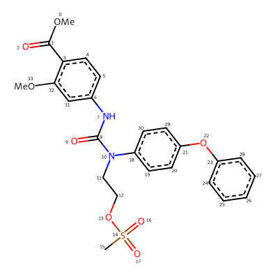 COC(=O)c1ccc(NC(=O)N(CCOS(C)(=O)=O)c2ccc(Oc3ccccc3)cc2)cc1OC